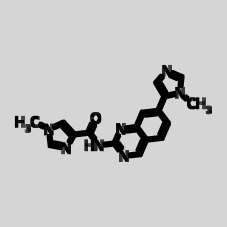 Cn1cnc(C(=O)Nc2ncc3ccc(-c4cncn4C)cc3n2)c1